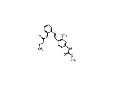 CCCC(=O)Oc1ccccc1/N=N/c1ccc(NC(=O)OC)nc1N